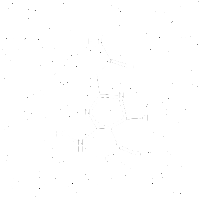 CNc1nc(CC(N)=O)nc(Cl)c1[N+](=O)[O-]